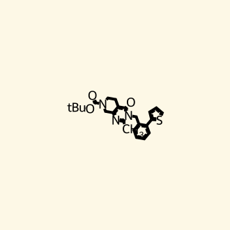 Cc1nc2c(c(=O)n1Cc1ccccc1-c1cccs1)CCN(C(=O)OC(C)(C)C)C2